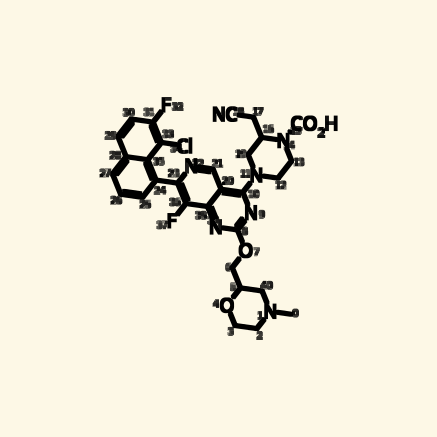 CN1CCOC(COc2nc(N3CCN(C(=O)O)C(CC#N)C3)c3cnc(-c4cccc5ccc(F)c(Cl)c45)c(F)c3n2)C1